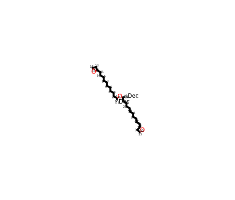 CCCCCCCCCCC(CCCCCCCCCCC1CCO1)OC(CCCCCCCCCC)CCCCCCCCCCC1CCO1